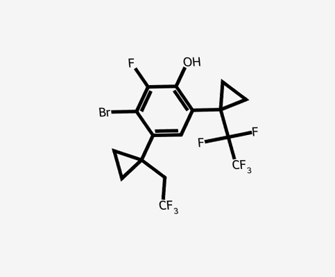 Oc1c(C2(C(F)(F)C(F)(F)F)CC2)cc(C2(CC(F)(F)F)CC2)c(Br)c1F